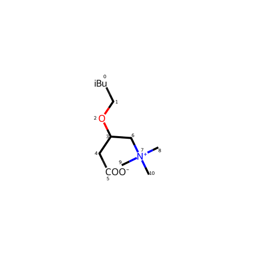 CCC(C)COC(CC(=O)[O-])C[N+](C)(C)C